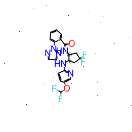 O=C(N[C@H]1CC(F)(F)C[C@H]1Nc1ccc(OC(F)F)cn1)c1ccccc1-n1nccn1